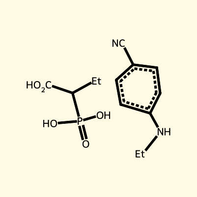 CCC(C(=O)O)P(=O)(O)O.CCNc1ccc(C#N)cc1